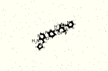 Nc1nccc(Oc2ccc(NC(=O)c3cnn(-c4ccccn4)c3C(F)(F)F)cc2F)c1CN1CCCC1